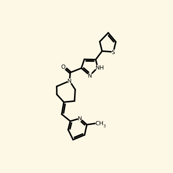 Cc1cccc(C=C2CCN(C(=O)c3cc(C4CC=CS4)[nH]n3)CC2)n1